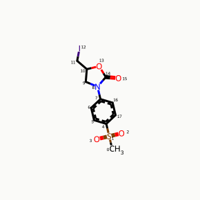 CS(=O)(=O)c1ccc(N2CC(CI)OC2=O)cc1